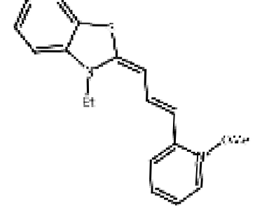 CCN1C(=CC=Cc2cccc[n+]2OC)Sc2ccccc21